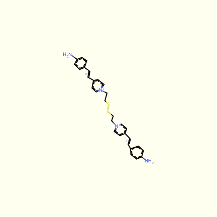 Nc1ccc(/C=C/c2cc[n+](CCSSCC[n+]3ccc(/C=C/c4ccc(N)cc4)cc3)cc2)cc1